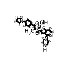 CC(C(=O)c1ccc(N2CCCC2)cc1)S(=O)(=O)c1cc2c(N3CCNCC3)nccc2s1.Cl